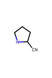 N#CC1CCC[N]1